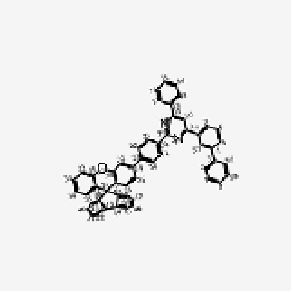 c1ccc(-c2cccc(-c3cc(-c4ccccc4)nc(-c4ccc(-c5ccc6c(c5)Oc5ccccc5C65c6ccccc6-c6ccccc65)cc4)n3)c2)cc1